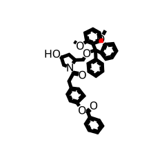 COc1ccccc1C(OCC1CC(O)CN1C(=O)Cc1ccc(OC(=O)c2ccccc2)cc1)(c1ccccc1)c1ccccc1OC